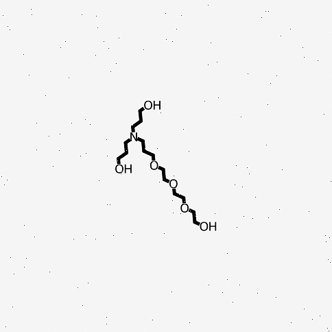 OCCCN(CCCO)CCCOCCOCCOCCO